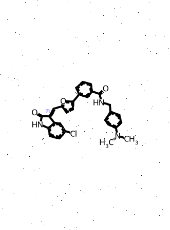 CN(C)c1ccc(CNC(=O)c2cccc(-c3ccc(/C=C4/C(=O)Nc5ccc(Cl)cc54)o3)c2)cc1